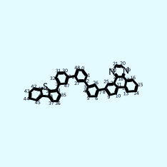 c1cc(-c2cccc(-c3ccc4c5ccccc5c5nccnc5c4c3)c2)cc(-c2cccc(-c3cccc4c3sc3ccccc34)c2)c1